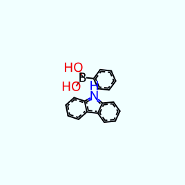 OB(O)c1ccccc1.c1ccc2c(c1)[nH]c1ccccc12